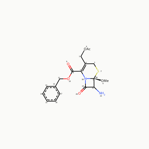 CO[C@]12SCC(COC(C)=O)=C(C(=O)OCc3ccccc3)N1C(=O)C2N